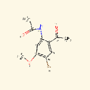 COc1cc(NC(C)=O)c(C(C)=O)cc1Br